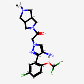 CN1CC2CN(C(=O)Cn3cc(N)c(-c4cc(Cl)ccc4OC(F)F)n3)CC2C1